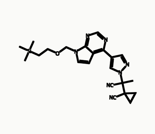 CC(C#N)(n1cc(-c2ncnc3c2ccn3COCC[Si](C)(C)C)cn1)C1(C#N)CC1